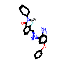 CCCN(C(=O)c1cccc(CNc2cc(Oc3ccccc3)ccc2N)c1F)C1CCCCC1